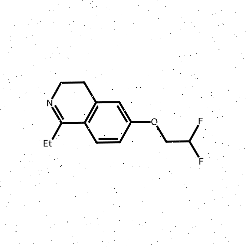 CCC1=NCCc2cc(OCC(F)F)ccc21